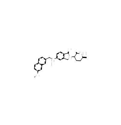 C=C1CCC(N2Cc3cc(NCc4ccc5ccc(OC)cc5c4)ccc3C2=O)C(=O)N1